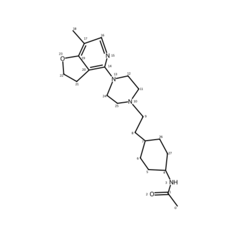 CC(=O)NC1CCC(CCN2CCN(c3ncc(C)c4c3CCO4)CC2)CC1